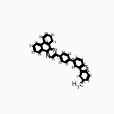 CC1C=Cc2sc3ccc(-c4ccc(-c5cnc6c(n5)c5c(c7ccccc76)C=CCC5)cc4)cc3c2C1